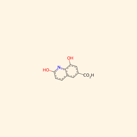 O=C(O)c1cc(O)c2nc(O)ccc2c1